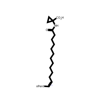 CCCCC/C=C\CCCCCCCCCCC(=O)NC1(C(=O)O)CC1